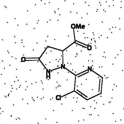 COC(=O)C1CC(=O)NN1c1ncccc1Cl